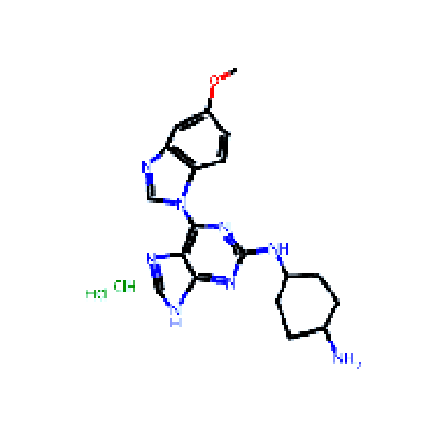 COc1ccc2c(c1)ncn2-c1nc(NC2CCC(N)CC2)nc2[nH]cnc12.Cl.Cl